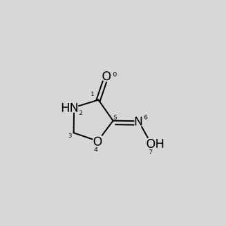 O=C1NCOC1=NO